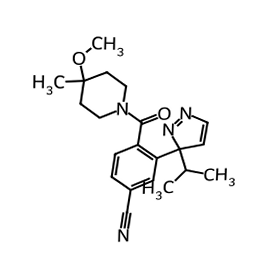 COC1(C)CCN(C(=O)c2ccc(C#N)cc2C2(C(C)C)C=CN=N2)CC1